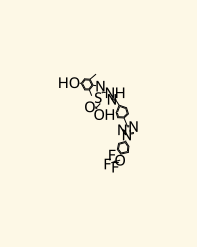 Cc1cc(O)cc(C)c1/N=C(/N/N=C/c1ccc(-c2ncn(-c3ccc(OC(F)(F)F)cc3)n2)cc1)SCC(=O)O